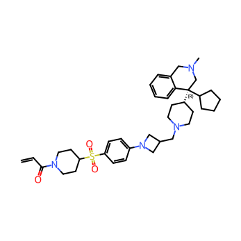 C=CC(=O)N1CCC(S(=O)(=O)c2ccc(N3CC(CN4CCC([C@@]5(C6CCCC6)CN(C)Cc6ccccc65)CC4)C3)cc2)CC1